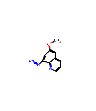 COc1cc(N=N)c2ncccc2c1